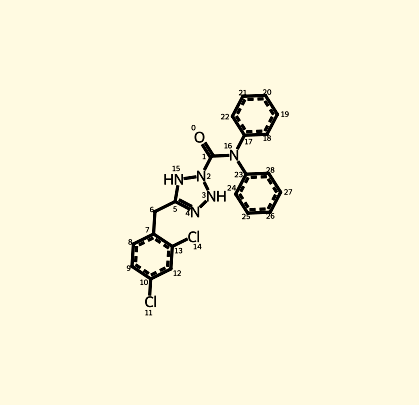 O=C(N1NN=C(Cc2ccc(Cl)cc2Cl)N1)N(c1ccccc1)c1ccccc1